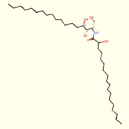 CCCCCCCCCCCCCCCCC(O)C(=O)N[C@@H](CO)[C@H](O)[C@H](O)CCCCCCCCCCCCCC